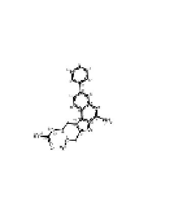 CCOCc1nc2c(N)nc3cc(-c4cccnc4)ccc3c2n1CCNC(=O)C(C)C